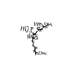 CCCCCCCCCCCCCCCC(=O)N[C@H](CSC[C@@H](O)CO)C(=O)O